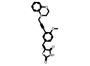 COc1ccc(/C=C2/SC(=O)NC2=O)cc1C#CCN1CCOc2ccccc21